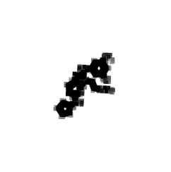 CNCCn1c(Nc2cc(Cl)cc(C(F)(F)F)c2)nc2cnc(NC3CCCC3)nc21